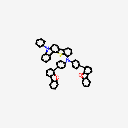 c1ccc(-n2c3ccccc3c3c4sc5c(N(c6ccc(-c7cccc8c7oc7ccccc78)cc6)c6ccc(-c7cccc8c7oc7ccccc78)cc6)cccc5c4ccc32)cc1